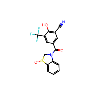 N#Cc1cc(C(=O)N2C[S+]([O-])c3ccccc32)cc(C(F)(F)F)c1O